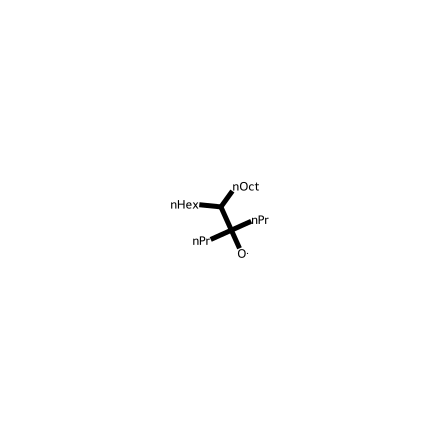 CCCCCCCCC(CCCCCC)C([O])(CCC)CCC